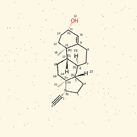 C#C[C@H]1CC[C@H]2[C@@H]3CCC4=C[C@@H](O)CC[C@]4(C)[C@H]3CC[C@]12C